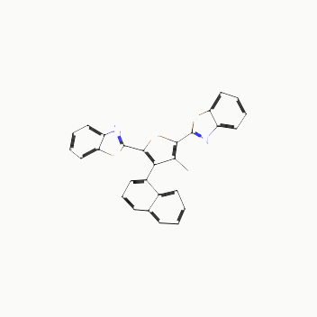 Cc1c(-c2nc3ccccc3s2)sc(-c2nc3ccccc3s2)c1-c1cccc2ccccc12